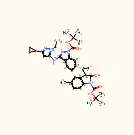 CCn1nc(C2CC2)cc1Nc1nn(C(=O)OC(C)(C)C)c2cc([C@@H]3C[C@@]34C(=O)N(C(=O)OC(C)(C)C)c3ccc(C)cc34)ccc12